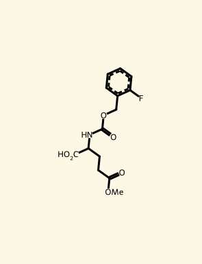 COC(=O)CCC(NC(=O)OCc1ccccc1F)C(=O)O